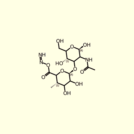 CC(=O)NC1C(O[C@@H]2OC(C(=O)ON=N)[C@@H](C)C(O)C2O)[C@H](O)C(CO)O[C@H]1O